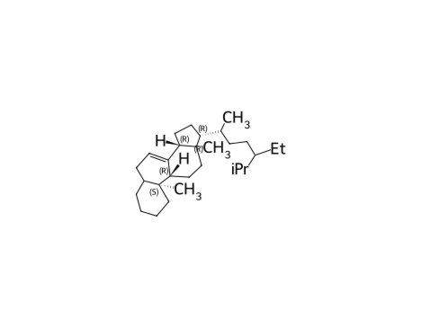 CCC(CCC(C)[C@H]1CC[C@H]2C3=CCC4CCCC[C@]4(C)[C@H]3CC[C@]12C)C(C)C